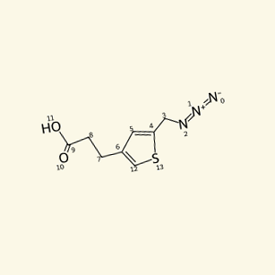 [N-]=[N+]=NCc1cc(CCC(=O)O)cs1